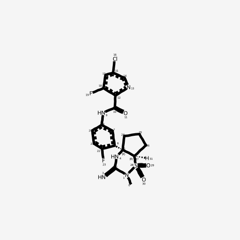 CN1C(=N)N[C@@]2(c3cc(NC(=O)c4ncc(Cl)cc4F)ccc3F)CCC[C@H]2S1(=O)=O